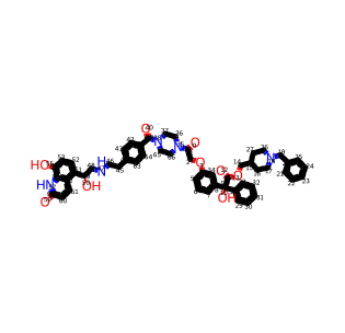 O=C(COc1cccc([C@](O)(C(=O)OCC2CCN(Cc3ccccc3)CC2)c2ccccc2)c1)N1CCN(C(=O)c2ccc(CCNC[C@H](O)c3ccc(O)c4[nH]c(=O)ccc34)cc2)CC1